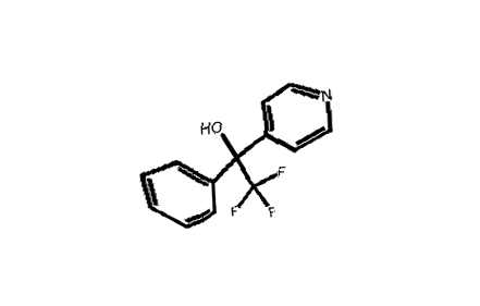 OC(c1ccccc1)(c1ccncc1)C(F)(F)F